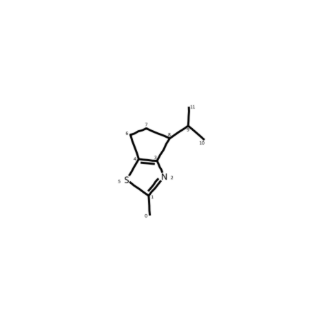 Cc1nc2c(s1)CCC2C(C)C